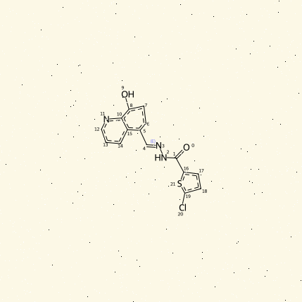 O=C(N/N=C/c1ccc(O)c2ncccc12)c1ccc(Cl)s1